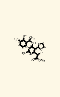 COC(=O)C(F)c1nc(C)nc(NC(C)c2cccc(C(F)(F)F)c2F)c1C1OCCO1